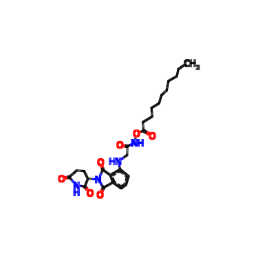 CCCCCCCCCCC(=O)ONC(=O)CNc1cccc2c1C(=O)N(C1CCC(=O)NC1=O)C2=O